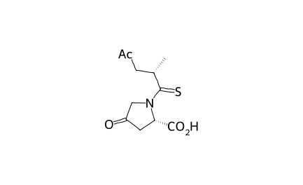 CC(=O)C[C@H](C)C(=S)N1CC(=O)C[C@H]1C(=O)O